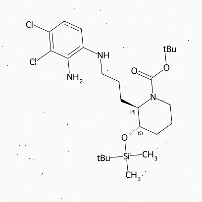 CC(C)(C)OC(=O)N1CCC[C@H](O[Si](C)(C)C(C)(C)C)[C@H]1CCCNc1ccc(Cl)c(Cl)c1N